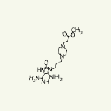 COC(=O)CCN1CCN(CCCn2c(N)c(C(=N)N)[nH]c2=O)CC1